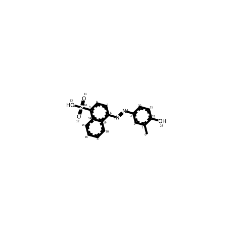 Cc1cc(/N=N/c2ccc(S(=O)(=O)O)c3ccccc23)ccc1O